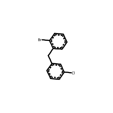 Clc1[c]ccc(Cc2ccccc2Br)c1